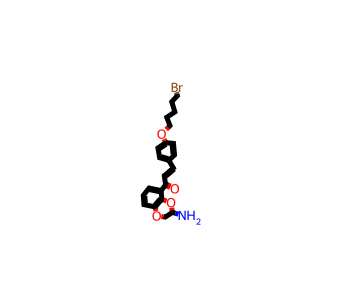 NC1COc2cccc(C(=O)C=Cc3ccc(OCCCCCBr)cc3)c2O1